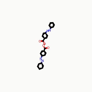 O=C(OOC(=O)c1ccc(/N=N/c2ccccc2)cc1)c1ccc(/N=N/c2ccccc2)cc1